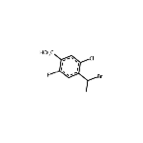 CC(Br)c1cc(F)c(C(=O)O)cc1Cl